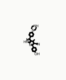 Cc1c(C#N)c(-c2ccc(O)cc2)nc2[nH]nc(-c3ccc(N4CCNCC4)cc3)c12